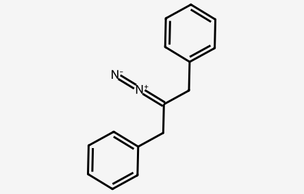 [N-]=[N+]=C(Cc1ccccc1)Cc1ccccc1